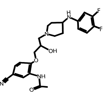 CC(=O)Nc1cc(C#N)ccc1OCC(O)CN1CCC(Nc2ccc(F)c(F)c2)CC1